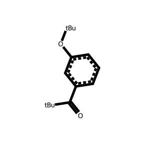 CC(C)(C)Oc1cccc(C(=O)C(C)(C)C)c1